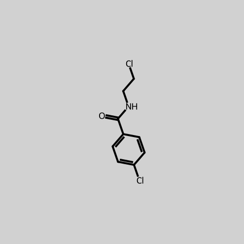 O=C(NCCCl)c1ccc(Cl)cc1